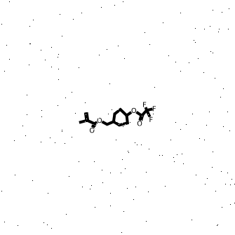 C=C(C)C(=O)OCC1CCC(OC(=O)C(F)(F)F)CC1